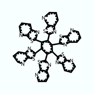 c1cnc2sc(-c3c(-c4nc5cccnc5s4)c(-c4nc5cccnc5s4)c(-c4nc5cccnc5s4)c(-c4nc5cccnc5s4)c3-c3nc4cccnc4s3)nc2c1